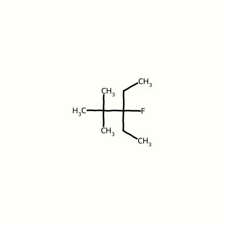 CCC(F)(CC)C(C)(C)C